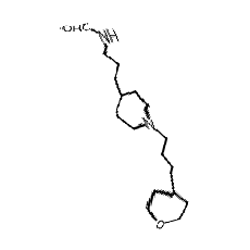 O=[C]NCCCC1CCN(CCCC2CCOCC2)CC1